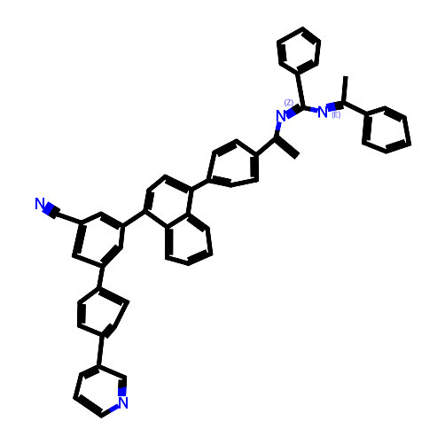 C=C(/N=C(\N=C(/C)c1ccccc1)c1ccccc1)c1ccc(-c2ccc(-c3cc(C#N)cc(-c4ccc(-c5cccnc5)cc4)c3)c3ccccc23)cc1